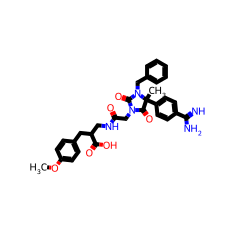 COc1ccc(CC(CNC(=O)CN2C(=O)N(Cc3ccccc3)C(C)(c3ccc(C(=N)N)cc3)C2=O)C(=O)O)cc1